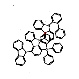 c1ccc(-c2ccccc2-n2c3ccccc3c3c(-n4c5ccccc5c5c(-n6c7ccccc7c7ccccc76)ccc([Si](c6ccccc6)(c6ccccc6)c6ccccc6)c54)cccc32)cc1